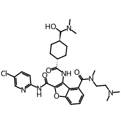 CN(C)CCN(C)C(=O)c1cccc2oc(C(=O)Nc3ccc(Cl)cn3)c(NC(=O)[C@H]3CC[C@H](C(O)N(C)C)CC3)c12